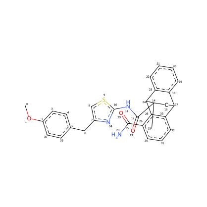 COc1ccc(Cc2csc(NC(=O)C3(C)CC4c5ccccc5C3c3c(C(N)=O)cccc34)n2)cc1